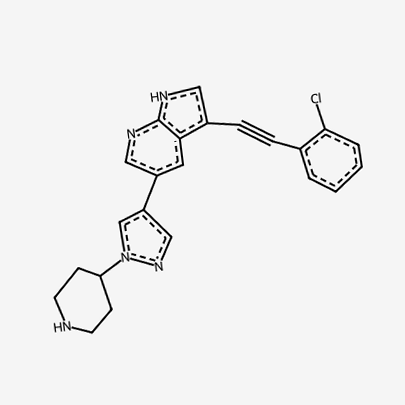 Clc1ccccc1C#Cc1c[nH]c2ncc(-c3cnn(C4CCNCC4)c3)cc12